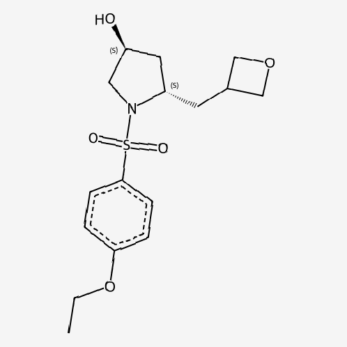 CCOc1ccc(S(=O)(=O)N2C[C@@H](O)C[C@@H]2CC2COC2)cc1